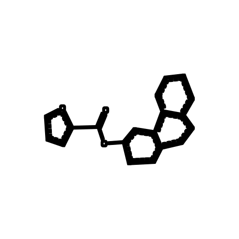 O=C(Oc1ccc2ccc3ccccc3c2c1)c1ccco1